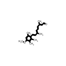 COc1cc(C)c(C=CC(C)=CC=CC(C)=C[C]=O)c(C)c1C